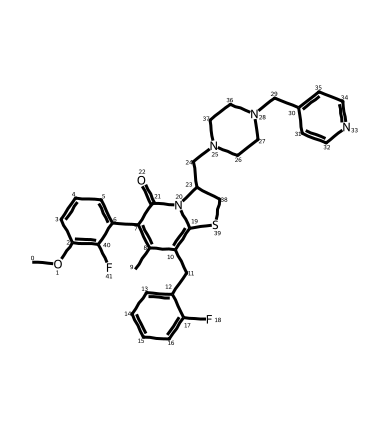 COc1cccc(-c2c(C)c(Cc3ccccc3F)c3n(c2=O)C(CN2CCN(Cc4ccncc4)CC2)CS3)c1F